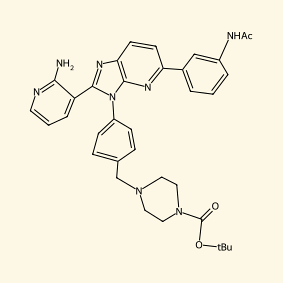 CC(=O)Nc1cccc(-c2ccc3nc(-c4cccnc4N)n(-c4ccc(CN5CCN(C(=O)OC(C)(C)C)CC5)cc4)c3n2)c1